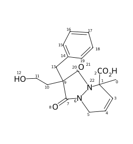 CC1(C(=O)O)C=CCN2C(=O)C(CCO)(Cc3ccccc3)C(=O)N21